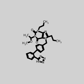 CCCc1nc2c(c(=O)n(C(C)OC)c(=O)n2CCC)n1Cc1ccc(-c2ccccc2-c2nnn[nH]2)cc1